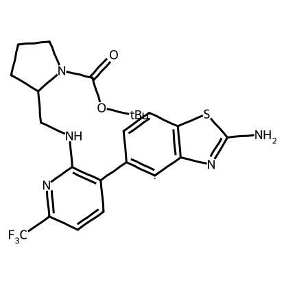 CC(C)(C)OC(=O)N1CCCC1CNc1nc(C(F)(F)F)ccc1-c1[c]c2nc(N)sc2cc1